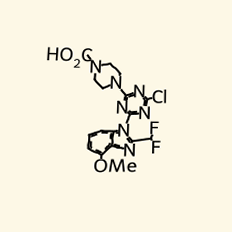 COc1cccc2c1nc(C(F)F)n2-c1nc(Cl)nc(N2CCN(C(=O)O)CC2)n1